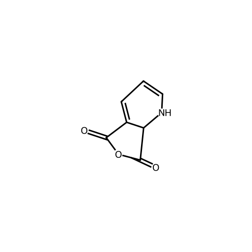 O=C1OC(=O)C2NC=CC=C12